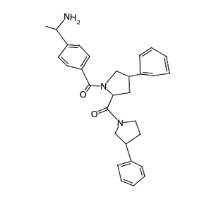 CC(N)c1ccc(C(=O)N2CC(c3ccccc3)CC2C(=O)N2CCC(c3ccccc3)C2)cc1